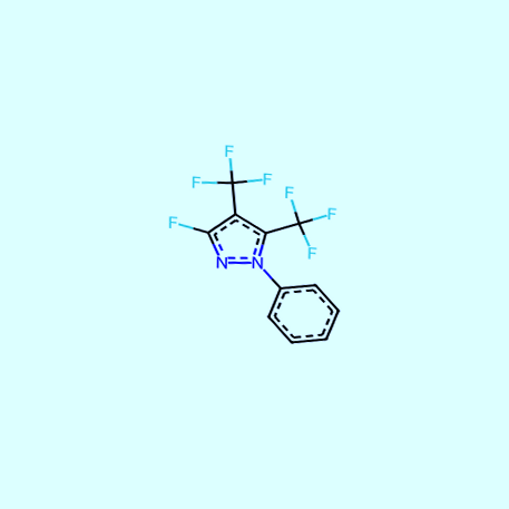 Fc1nn(-c2ccccc2)c(C(F)(F)F)c1C(F)(F)F